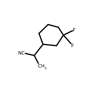 CC(C#N)C1CCCC(F)(F)C1